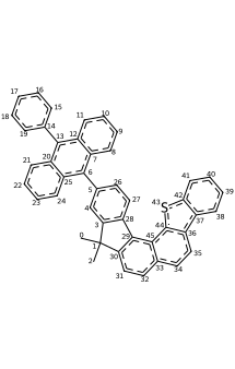 CC1(C)c2cc(-c3c4ccccc4c(-c4ccccc4)c4ccccc34)ccc2-c2c1ccc1ccc3c4ccccc4sc3c21